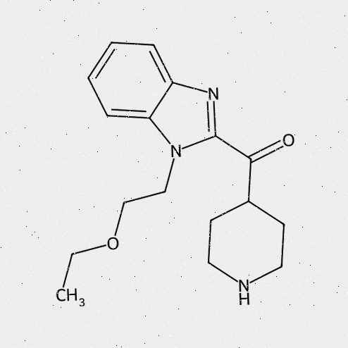 CCOCCn1c(C(=O)C2CCNCC2)nc2ccccc21